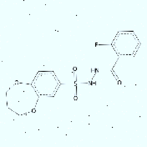 O=C(NNS(=O)(=O)c1ccc2c(c1)OCCCO2)c1ccccc1F